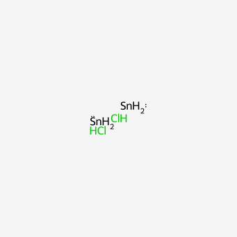 Cl.Cl.[SnH2].[SnH2]